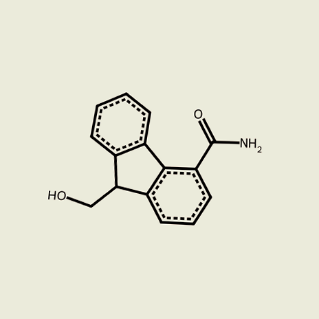 NC(=O)c1cccc2c1-c1ccccc1C2CO